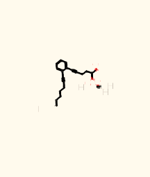 CCCCCCC#Cc1ccccc1C#CCCC(C(=O)O)C(=O)OC(C)(C)C